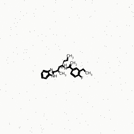 C=C(N[C@H](CCC)CC(C)c1nc2ccccc2[nH]1)c1ccc(F)c(CC)c1